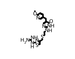 COc1ccc(Cc2cnc(NCCSCc3csc(NC(=N)N)n3)[nH]c2=O)cn1